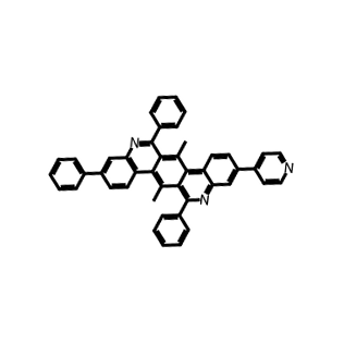 Cc1c2c(-c3ccccc3)nc3cc(-c4ccncc4)ccc3c2c(C)c2c(-c3ccccc3)nc3cc(-c4ccccc4)ccc3c12